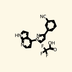 N#Cc1cccc(-c2ccn(-c3ccnc4[nH]ccc34)n2)c1.O=C(O)C(F)(F)F